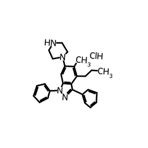 CCCc1c(C)c(N2CCNCC2)cc2c1c(-c1ccccc1)nn2-c1ccccc1.Cl